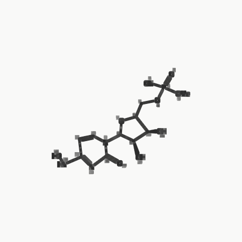 COP(=O)(N=O)OCC1OC(n2ccc(NO)nc2=O)[C@H](O)[C@@H]1O